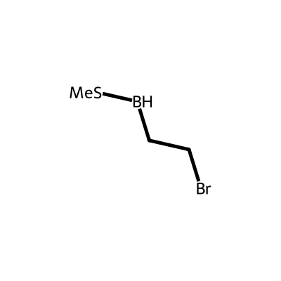 CSBCCBr